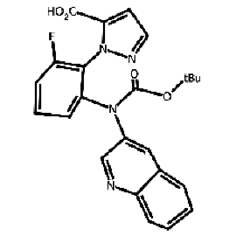 CC(C)(C)OC(=O)N(c1cnc2ccccc2c1)c1cccc(F)c1-n1nccc1C(=O)O